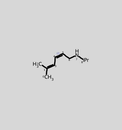 CC(C)=C/C=C\CNC(C)C